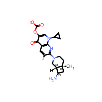 C[C@]12CCN(c3nc4c(cc3F)c(=O)c(OC(=O)O)cn4C3CC3)C[C@H]1[C@H](N)C2